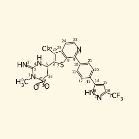 CN1C(=N)NC(c2sc3c(-c4ccc(-c5cc(C(F)(F)F)n[nH]5)cc4)nccc3c2Cl)CS1(=O)=O